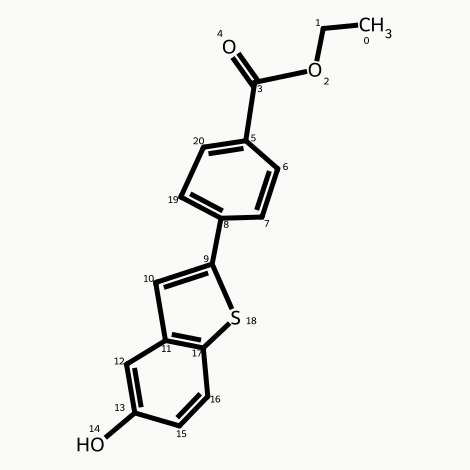 CCOC(=O)c1ccc(-c2cc3cc(O)ccc3s2)cc1